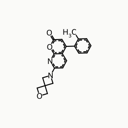 Cc1ccccc1-c1cc(=O)oc2nc(N3CC4(COC4)C3)ccc12